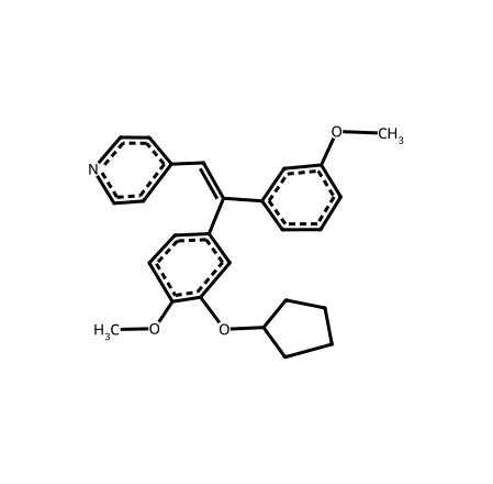 COc1cccc(C(=Cc2ccncc2)c2ccc(OC)c(OC3CCCC3)c2)c1